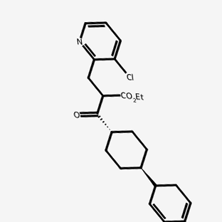 CCOC(=O)C(Cc1ncccc1Cl)C(=O)[C@H]1CC[C@H](C2C=CC=CC2)CC1